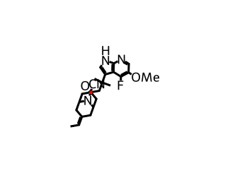 CC=C1CC2CC(C#N)CC(C1)N2C(=O)CC(C)(C)c1c[nH]c2ncc(OC)c(F)c12